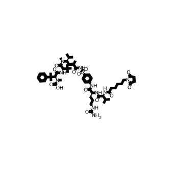 C/C(=C\[C@H](C(C)C)N(C)C(=O)[C@@H](NC(=O)[C@@H](N(C)C(=O)O)C(C)(C)c1ccccc1)C(C)(C)C)C(=O)NS(=O)(=O)c1ccc(NC(=O)[C@H](CCCNC(N)=O)NC(=O)[C@@H](NC(=O)CCCCCN2C(=O)C=CC2=O)C(C)C)cc1